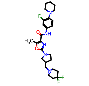 Cc1oc(N2CCC(CN3CCC(F)(F)CC3)C2)nc1C(=O)Nc1ccc(N2CCCCC2)c(F)c1